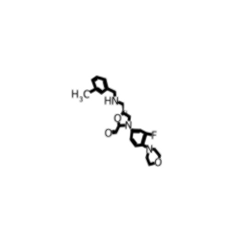 Cc1cccc(CNC[C@H]2CN(c3ccc(N4CCOCC4)c(F)c3)C(C=O)O2)c1